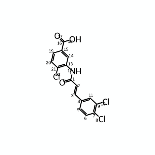 O=C(/C=C/c1ccc(Cl)c(Cl)c1)Nc1cc(C(=O)O)ccc1Cl